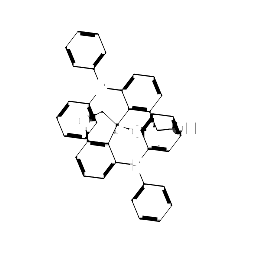 C[C@]1(c2c(CO)cccc2P(c2ccccc2)c2ccccc2)COc2cccc(P(c3ccccc3)c3ccccc3)c21